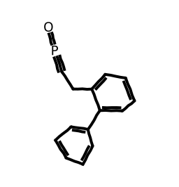 O=P#CCc1ccccc1-c1ccccc1